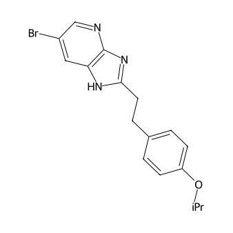 CC(C)Oc1ccc(CCc2nc3ncc(Br)cc3[nH]2)cc1